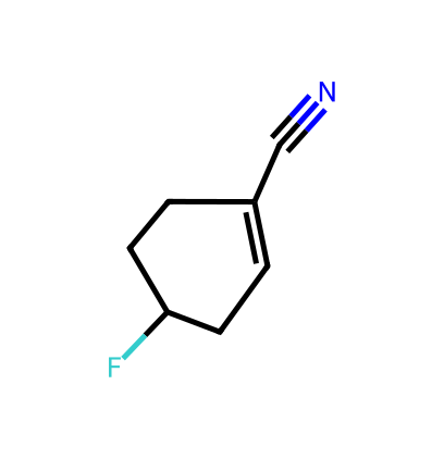 N#CC1=CCC(F)CC1